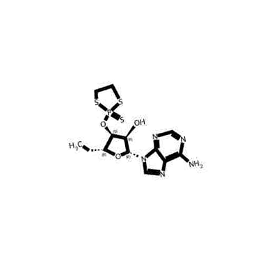 CC[C@H]1O[C@@H](n2cnc3c(N)ncnc32)[C@H](O)[C@@H]1OP1(=S)SCCS1